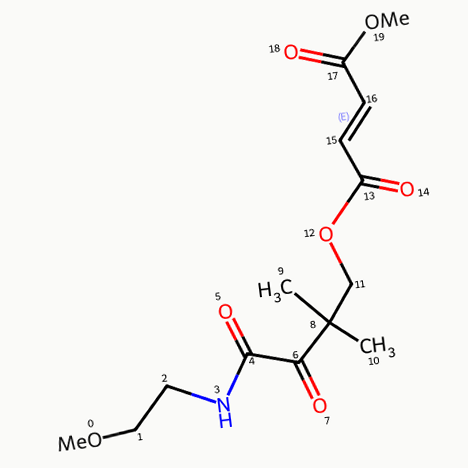 COCCNC(=O)C(=O)C(C)(C)COC(=O)/C=C/C(=O)OC